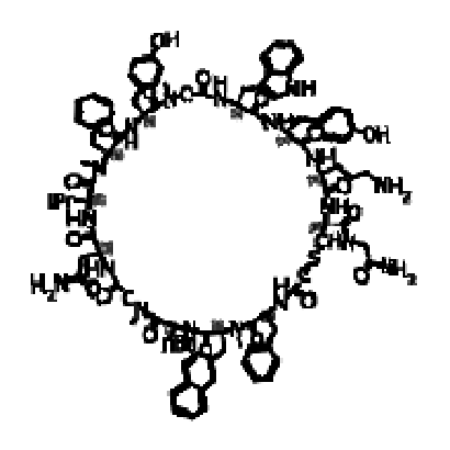 CCCC[C@H]1C(=O)N(C)CC(=O)N[C@@H](CC(N)=O)C(=O)N[C@@H](C(C)C)C(=O)N(C)[C@@H](Cc2ccccc2)C(=O)N[C@@H](Cc2ccc(O)cc2)C(=O)N(C)CC(=O)N[C@@H](Cc2c[nH]c3ccccc23)C(=O)N[C@@H](Cc2ccc(O)cc2)C(=O)N[C@@H](CCCN)C(=O)N[C@H](C(=O)NCC(N)=O)CSCC(=O)N[C@@H](Cc2ccccc2)C(=O)N(C)[C@@H](Cc2ccc3ccccc3c2)C(=O)N1C